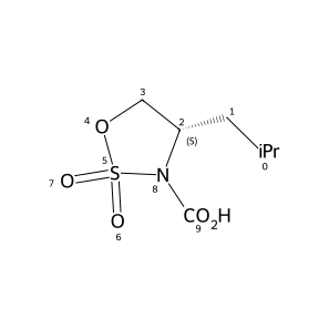 CC(C)C[C@H]1COS(=O)(=O)N1C(=O)O